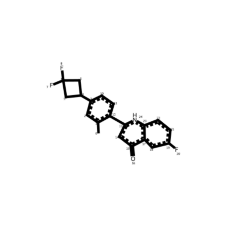 Cc1cc(C2CC(F)(F)C2)ccc1-c1cc(=O)c2cc(F)ccc2[nH]1